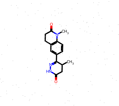 CC1CC(=O)NN=C1c1ccc2c(c1)CCC(=O)N2C